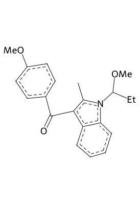 CCC(OC)n1c(C)c(C(=O)c2ccc(OC)cc2)c2ccccc21